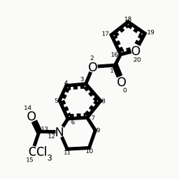 O=C(Oc1ccc2c(c1)CCCN2C(=O)C(Cl)(Cl)Cl)c1ccco1